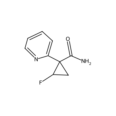 NC(=O)C1(c2ccccn2)CC1F